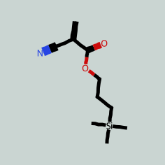 C=C(C#N)C(=O)OCCC[Si](C)(C)C